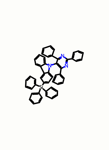 c1ccc(-c2nc(-c3ccccc3)c(-n3c4ccccc4c4cc([Si](c5ccccc5)(c5ccccc5)c5ccccc5)ccc43)c(-c3ccccc3)n2)cc1